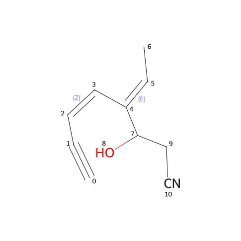 C#C/C=C\C(=C/C)C(O)CC#N